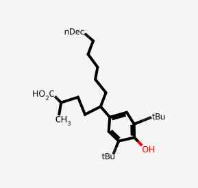 CCCCCCCCCCCCCCCC(CCC(C)C(=O)O)c1cc(C(C)(C)C)c(O)c(C(C)(C)C)c1